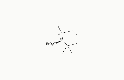 CCOC(=O)[C@H]1[C@H](C)CCCC1(C)C